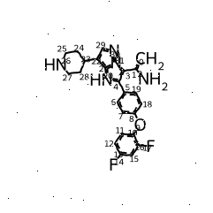 C=C(N)c1c(-c2ccc(Oc3ccc(F)cc3F)cc2)[nH]c2c(C3CCNCC3)cnn12